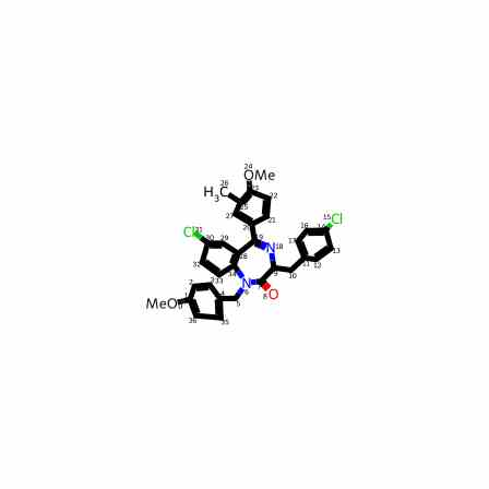 COc1ccc(CN2C(=O)C(Cc3ccc(Cl)cc3)N=C(c3ccc(OC)c(C)c3)c3cc(Cl)ccc32)cc1